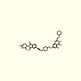 O=C1CCC(N2C(=O)c3ccc(C#CCN4CCC(COc5cc(F)c6c(=O)[nH]c(CSC7CCOCC7)nc6c5)CC4)cc3C2=O)C(=O)N1